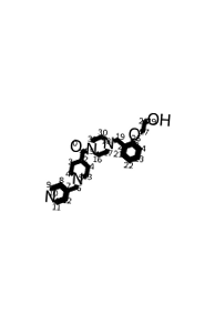 O=C(C1CCN(Cc2ccncc2)CC1)N1CCN(Cc2ccccc2OCCO)CC1